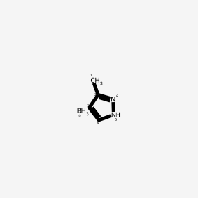 B.Cc1cc[nH]n1